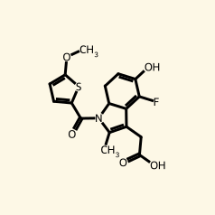 COc1ccc(C(=O)N2C(C)=C(CC(=O)O)C3=C(F)C(O)=CCC32)s1